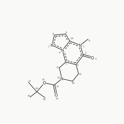 Cn1c(=O)c2c(n3nccc13)CN(C(=O)OC(C)(C)C)CC2